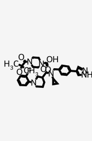 CC(C)(Oc1cccc(N2CCCC(C(=O)N(Cc3ccc(-c4cn[nH]c4)cc3)C3CC3)C2)c1F)C(=O)N1CCN(C(=O)O)CC1